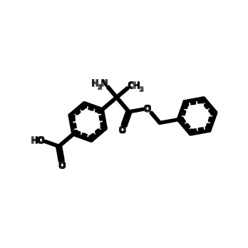 CC(N)(C(=O)OCc1ccccc1)c1ccc(C(=O)O)cc1